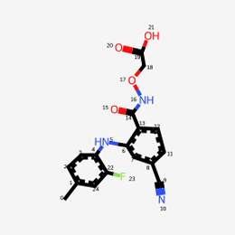 Cc1ccc(Nc2cc(C#N)ccc2C(=O)NOCC(=O)O)c(F)c1